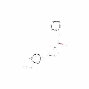 O=C(OCc1ccccc1)[C@H]1CC[C@H](Oc2cccc(CBr)c2)CC1